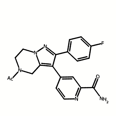 CC(=O)N1CCn2nc(-c3ccc(F)cc3)c(-c3ccnc(C(N)=O)c3)c2C1